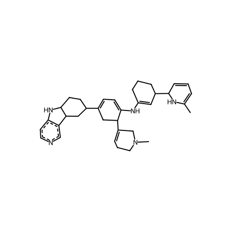 CC1=CC=CC(C2C=C(NC3=CC=C(C4CCC5Nc6ccncc6C5C4)CC3C3=CCCN(C)C3)CCC2)N1